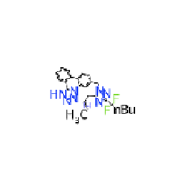 C/C=C/Cc1nc(C(F)(F)CCCC)nn1Cc1ccc(-c2ccccc2-c2nnn[nH]2)cc1